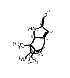 CC1=C2SC(O)C1(C)C1NC(=O)C=C21